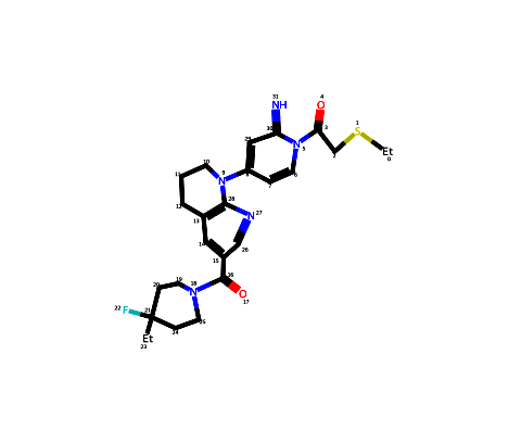 CCSCC(=O)n1ccc(N2CCCc3cc(C(=O)N4CCC(F)(CC)CC4)cnc32)cc1=N